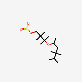 CC(CC(C)(C)C(C)C)OC(C)(C)C(C)(C)CO[SH](=O)=O